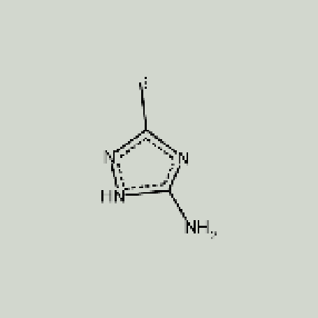 [C]c1n[nH]c(N)n1